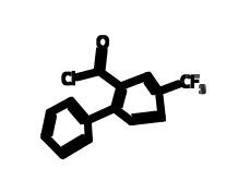 O=C(Cl)c1cc(C(F)(F)F)ccc1-c1ccccc1